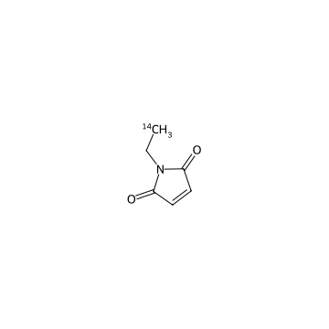 [14CH3]CN1C(=O)C=CC1=O